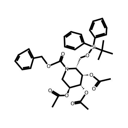 CC(=O)O[C@@H]1[C@H](OC(C)=O)[C@@H](OC(C)=O)CN(C(=O)OCc2ccccc2)[C@@H]1CO[Si](c1ccccc1)(c1ccccc1)C(C)(C)C